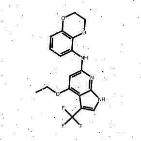 CCOc1cc(Nc2cc[c]c3c2OCCO3)nc2[nH]cc(C(F)(F)F)c12